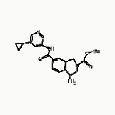 CC1CN(C(=O)OC(C)(C)C)Cc2cc(C(=O)Nc3cncc(C4CC4)c3)ccc21